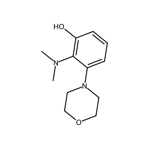 CN(C)c1c(O)cccc1N1CCOCC1